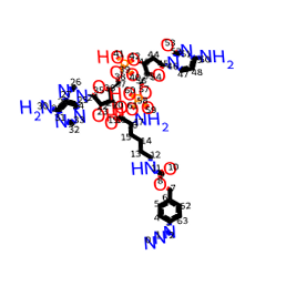 [N-]=[N+]=Nc1ccc(COC(=O)NCCCC[C@@H](N)C(=O)O[C@H]2[C@@H](O)[C@H](n3cnc4c(N)ncnc43)O[C@H]2COP(=O)(O)O[C@H]2C[C@H](n3ccc(N)nc3=O)O[C@@H]2COP(=O)(O)O)cc1